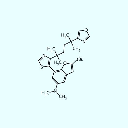 CN(C)c1cc(-c2scnc2C(C)(C)CCC(C)(C)c2cocn2)c2oc(C(C)(C)C)cc2c1